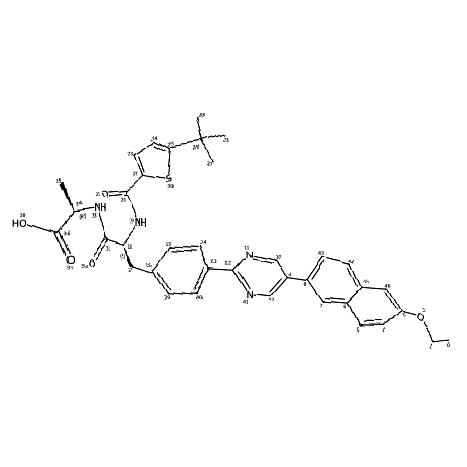 CCOc1ccc2cc(-c3cnc(-c4ccc(C[C@H](NC(=O)c5ccc(C(C)(C)C)s5)C(=O)N[C@H](C)C(=O)O)cc4)nc3)ccc2c1